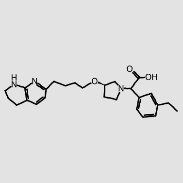 CCc1cccc(C(C(=O)O)N2CC[C@@H](OCCCCc3ccc4c(n3)NCCC4)C2)c1